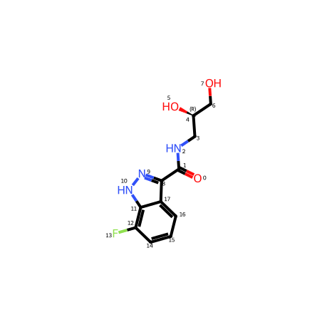 O=C(NC[C@@H](O)CO)c1n[nH]c2c(F)cccc12